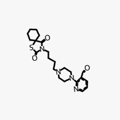 O=Cc1cccnc1N1CCN(CCCCN2C(=O)SC3(CCCCC3)C2=O)CC1